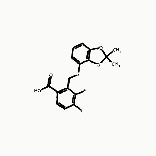 CC1(C)Oc2cccc(SCc3c(C(=O)O)ccc(F)c3F)c2O1